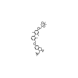 Cc1cc(OC[C@H]2COC(C)(C)O2)cc(C)c1-c1cccc(COc2ccc3c(c2)CC2(CC2)C3CN(C)C)c1C